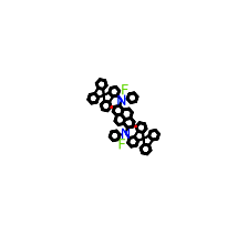 Fc1ccccc1N(c1cccc2c1-c1ccccc1C21c2ccccc2-c2ccccc21)c1ccc2ccc3c(N(c4ccccc4F)c4cccc5c4-c4ccccc4C54c5ccccc5-c5ccccc54)ccc4ccc1c2c43